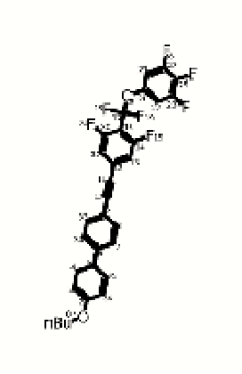 CCCCOC1=CCC(c2ccc(C#Cc3cc(F)c(C(F)(F)Oc4cc(F)c(F)c(F)c4)c(F)c3)cc2)C=C1